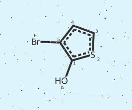 Oc1sccc1Br